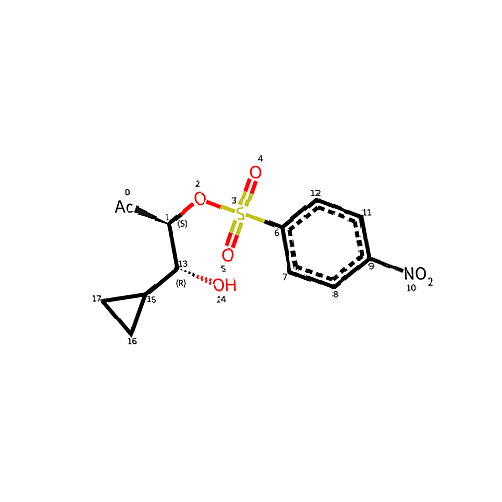 CC(=O)[C@@H](OS(=O)(=O)c1ccc([N+](=O)[O-])cc1)[C@H](O)C1CC1